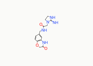 N=C1NCCN1CC(=O)NCc1ccc2c(c1)NC(=O)CO2